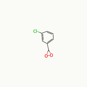 Clc1cccc(C2OO2)c1